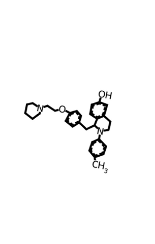 Cc1ccc(N2CCc3cc(O)ccc3C2Cc2ccc(OCCN3CCCCC3)cc2)cc1